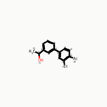 CCc1cc(-c2cccc(C(C)O)c2)ccc1C(C)=O